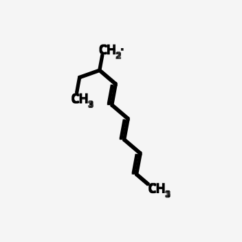 [CH2]C(C=CC=CC=CC)CC